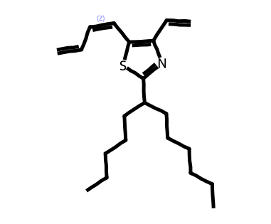 C=C/C=C\c1sc(C(CCCCC)CCCCCC)nc1C=C